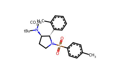 Cc1ccc(S(=O)(=O)N2CC[C@@H](N(C(=O)O)C(C)(C)C)[C@@H]2c2ccccc2C)cc1